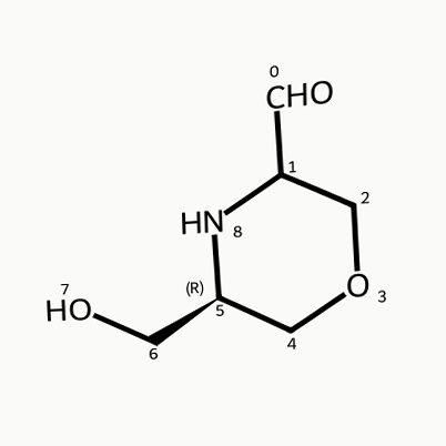 O=CC1COC[C@@H](CO)N1